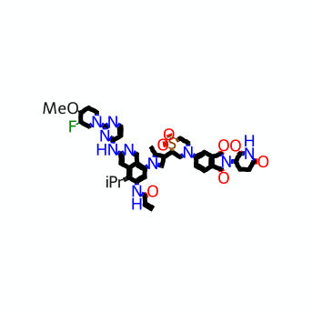 C=CC(=O)Nc1cc(N2CC(C3CN(c4ccc5c(c4)C(=O)N(C4CCC(=O)NC4=O)C5=O)CCS3(=O)=O)C2C)c2cnc(Nc3ccnc(N4CC[C@@H](OC)[C@@H](F)C4)n3)cc2c1C(C)C